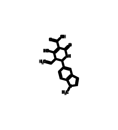 C=CC1C(O)=C(C(=O)O)C(=O)NC1c1ccc2c(ccn2C)c1